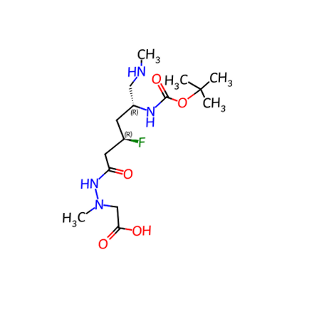 CNC[C@@H](C[C@@H](F)CC(=O)NN(C)CC(=O)O)NC(=O)OC(C)(C)C